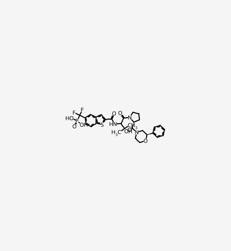 CC(C)(O)C(NC(=O)c1cc2cc(C(F)(F)P(=O)(O)O)ccc2s1)C(=O)N1CCC[C@H]1C(=O)N1CCO[C@H](c2ccccc2)C1